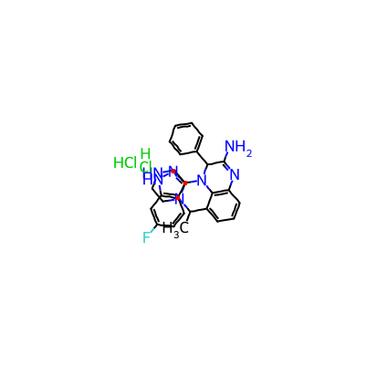 CC(c1cccc2c1N(c1n[nH]c3cc(F)ccc13)C(c1ccccc1)C(N)=N2)N1CCNCC1.Cl.Cl